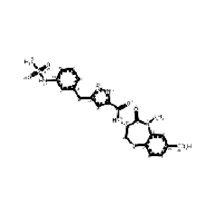 CN1C(=O)[C@@H](NC(=O)c2cc(Cc3cccc(NS(C)(=O)=O)c3)on2)COc2ccc(C(=O)O)cc21